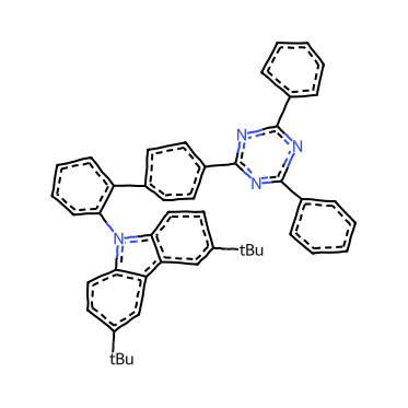 CC(C)(C)c1ccc2c(c1)c1cc(C(C)(C)C)ccc1n2-c1ccccc1-c1ccc(-c2nc(-c3ccccc3)nc(-c3ccccc3)n2)cc1